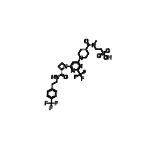 CN(CCS(=O)(=O)O)C(=O)C1CCN(c2cc(N3CC[C@H]3C(=O)NCCc3ccc(C(F)(F)F)cc3)nc(C(F)(F)F)n2)CC1